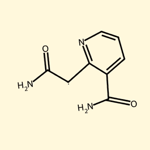 NC(=O)[CH]c1ncccc1C(N)=O